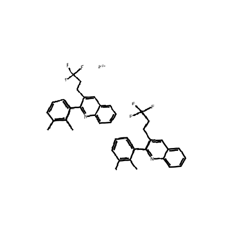 Cc1cccc(-c2nc3ccccc3cc2CCC(F)(F)F)c1C.Cc1cccc(-c2nc3ccccc3cc2CCC(F)(F)F)c1C.[Ir+3]